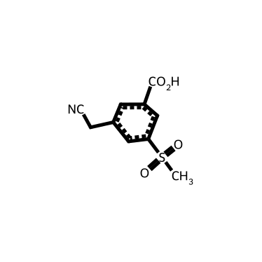 CS(=O)(=O)c1cc(CC#N)cc(C(=O)O)c1